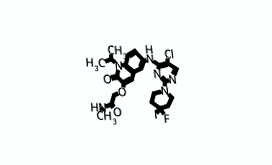 CNC(=O)COc1cc2cc(Nc3nc(N4CCC(F)(I)CC4)ncc3Cl)ccc2n(C(C)C)c1=O